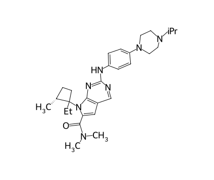 CCC1(n2c(C(=O)N(C)C)cc3cnc(Nc4ccc(N5CCN(C(C)C)CC5)cc4)nc32)CC[C@H]1C